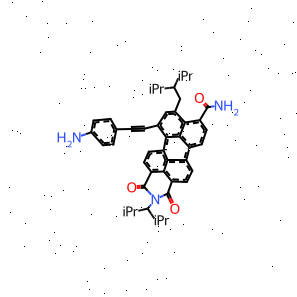 CC(C)C(Cc1cc(C#Cc2ccc(N)cc2)c2c3ccc4c5c(ccc(c6ccc(C(N)=O)c1c62)c53)C(=O)N(C(C(C)C)C(C)C)C4=O)C(C)C